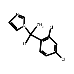 [Li][C](C)(c1ccc(Cl)cc1Cl)n1ccnc1